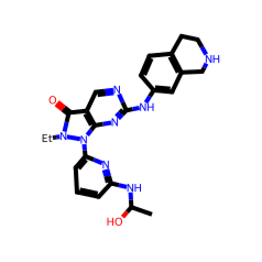 CCn1c(=O)c2cnc(Nc3ccc4c(c3)CNCC4)nc2n1-c1cccc(NC(C)O)n1